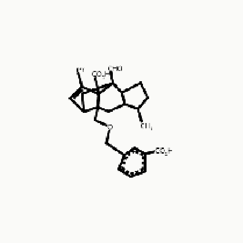 CC(C)C1=CC2CC3(C=O)C4CCC(C)C4CC2(COCc2cccc(C(=O)O)c2)C13C(=O)O